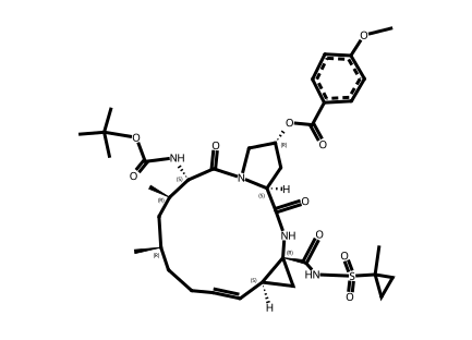 COc1ccc(C(=O)O[C@@H]2C[C@H]3C(=O)N[C@]4(C(=O)NS(=O)(=O)C5(C)CC5)C[C@H]4C=CCC[C@@H](C)C[C@@H](C)[C@H](NC(=O)OC(C)(C)C)C(=O)N3C2)cc1